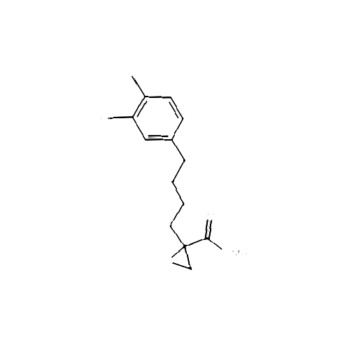 COC(=O)C1(CCCCc2ccc(C)c(Cl)c2)CO1